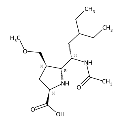 CCC(CC)C[C@H](NC(C)=O)[C@@H]1N[C@@H](C(=O)O)C[C@H]1COC